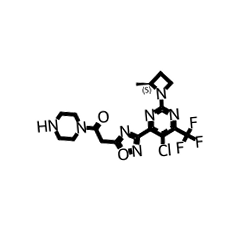 C[C@H]1CCN1c1nc(-c2noc(CC(=O)N3CCNCC3)n2)c(Cl)c(C(F)(F)F)n1